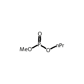 CCCO[P](=O)OC